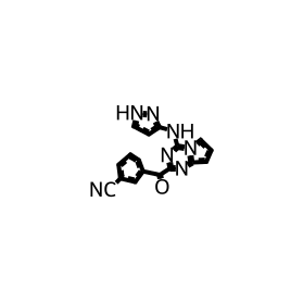 N#Cc1cccc(C(=O)c2nc(Nc3cc[nH]n3)n3cccc3n2)c1